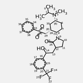 CC(C)N(C)[C@@H]1CC[C@H](N2CCC(CC(O)c3cccc(C(F)(F)F)c3)C2=O)[C@H](CS(=O)(=O)c2ccccc2)C1